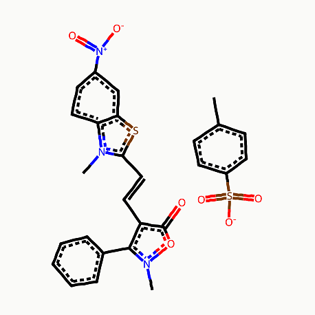 Cc1ccc(S(=O)(=O)[O-])cc1.Cn1oc(=O)c(C=Cc2sc3cc([N+](=O)[O-])ccc3[n+]2C)c1-c1ccccc1